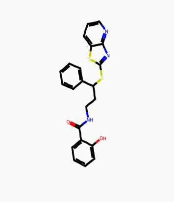 O=C(NCCC(Sc1nc2ncccc2s1)c1ccccc1)c1ccccc1O